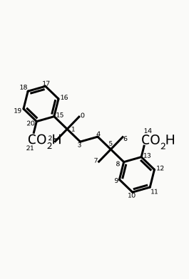 CC(C)(CCC(C)(C)c1ccccc1C(=O)O)c1ccccc1C(=O)O